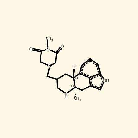 CN1C(=O)CN(CC2CN[C@]3(C)Cc4c[nH]c5cccc(c45)[C@H]3C2)CC1=O